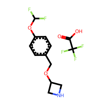 FC(F)Oc1ccc(COC2CNC2)cc1.O=C(O)C(F)(F)F